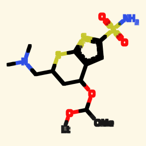 CCOC(OC)OC1CC(CN(C)C)Sc2sc(S(N)(=O)=O)cc21